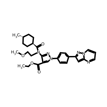 CCOC(=O)c1cn(-c2ccc(-c3cc4ncccn4n3)cc2)nc1N(CCOC)C(=O)[C@H]1CC[C@H](C)CC1